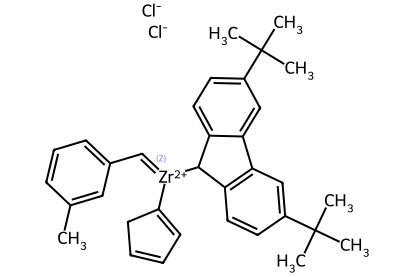 Cc1cccc(/[CH]=[Zr+2](\[C]2=CC=CC2)[CH]2c3ccc(C(C)(C)C)cc3-c3cc(C(C)(C)C)ccc32)c1.[Cl-].[Cl-]